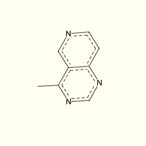 Cc1ncnc2ccncc12